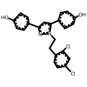 Oc1ccc(-c2cc(-c3ccc(O)cc3)n(CCc3ccc(Cl)cc3Cl)n2)cc1